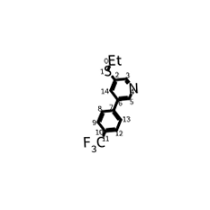 CCSc1cncc(-c2ccc(C(F)(F)F)cc2)c1